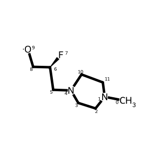 CN1CCN(C[C@H](F)C[O])CC1